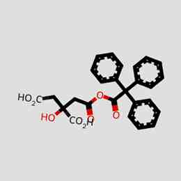 O=C(O)CC(O)(CC(=O)OC(=O)C(c1ccccc1)(c1ccccc1)c1ccccc1)C(=O)O